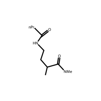 CCCC(=O)NCCC(C)C(=O)NC